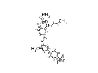 CCCCOc1cc(OCc2sc(-c3ccc(C(F)(F)F)cc3)nc2C)ccc1CC(=O)OC